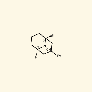 CC(C)C1C[C@H]2CCC[C@@H](C1)N2C